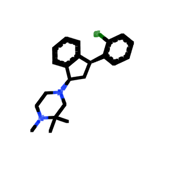 CN1CCN([C@@H]2C[C@H](c3ccccc3Cl)c3ccccc32)CC1(C)C